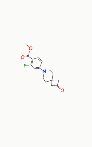 COC(=O)c1ccc(N2CCC3(CC2)CC(=O)C3)cc1F